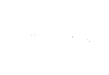 O=C1CN(CCNCC#Cc2ccc(NC(=O)c3ccc(Cl)cc3)cc2C(F)(F)F)CCO1